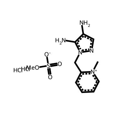 COS(=O)(=O)[O-].C[n+]1ccccc1Cn1ncc(N)c1N.Cl.Cl